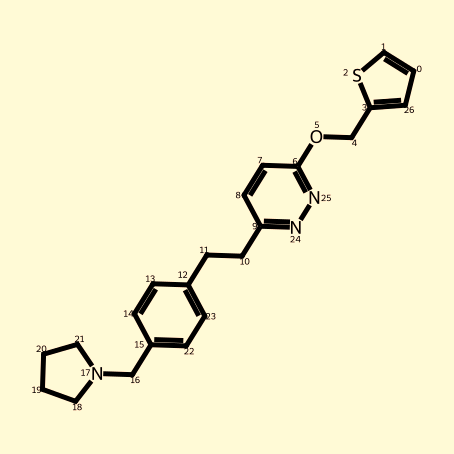 c1csc(COc2ccc(CCc3ccc(CN4CCCC4)cc3)nn2)c1